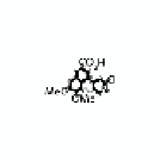 COc1cc2cc(C(=O)O)cc(-c3ccnc(Cl)c3)c2cc1OC